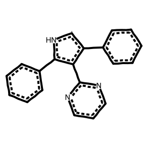 [c]1[nH]c(-c2ccccc2)c(-c2ncccn2)c1-c1ccccc1